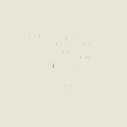 CC(C)(C)OC(=O)N(CC(=O)O)CC1CO1